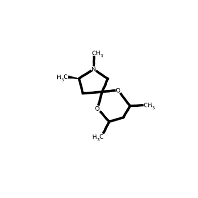 CC1CC(C)OC2(C[C@@H](C)N(C)C2)O1